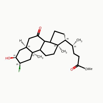 COC(=O)CC[C@@H](C)[C@H]1CCC2C3C(=O)C[C@@H]4C[C@H](O)[C@H](F)C[C@]4(C)C3CC[C@@]21C